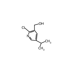 CC(C)c1cnc(Cl)c(CO)c1